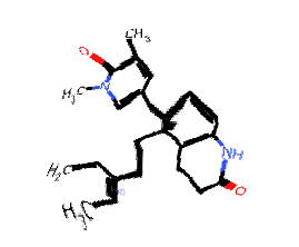 C=C/C(=C\C)CCc1c(-c2cc(C)c(=O)n(C)c2)ccc2c1CCC(=O)N2